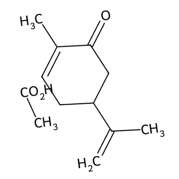 C=C(C)C1CC=C(C)C(=O)C1.CC(=O)O